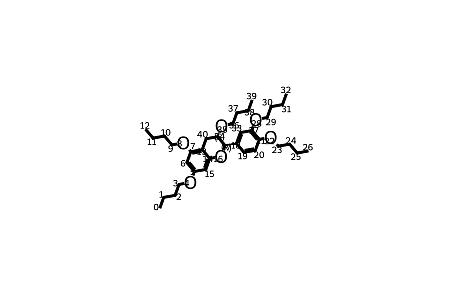 CCCCOc1cc(OCCCC)c2c(c1)O[C@H](c1ccc(OCCCC)c(OCCCC)c1)[C@@H](OCCCC)C2